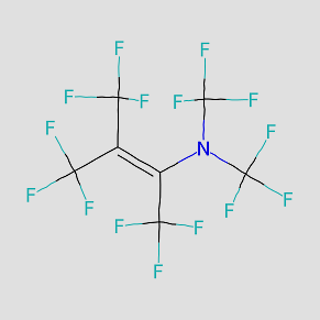 FC(F)(F)C(=C(C(F)(F)F)C(F)(F)F)N(C(F)(F)F)C(F)(F)F